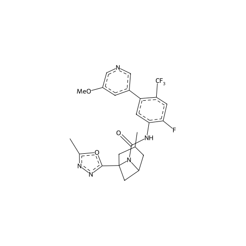 COc1cncc(-c2cc(NC(=O)N3C4CC(C)CC3(c3nnc(C)o3)C4)c(F)cc2C(F)(F)F)c1